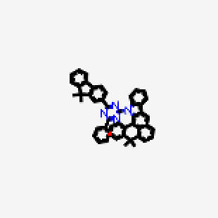 CC1(C)c2ccccc2-c2ccc(-c3nc(-c4ccccc4)nc(-n4c5ccccc5c5cc6cccc7c6c(c54)-c4ccccc4C7(C)C)n3)cc21